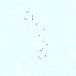 CC(=O)N[C@@H](Cc1cc(F)cc(F)c1)[C@@H](N)CNC(C)(C)c1cccc(CC(C)C)c1